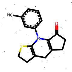 N#Cc1cccc(N2C3=C(CCS3)CC3=C2C(=O)CC3)c1